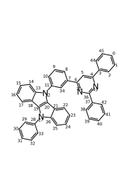 c1ccc(-c2cc(-c3cccc(-n4c5ccccc5c5c4c4ccccc4n5-c4ccccc4)c3)nc(-c3ccccc3)n2)cc1